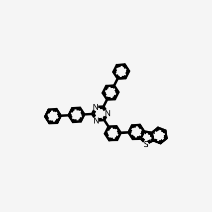 c1ccc(-c2ccc(-c3nc(-c4ccc(-c5ccccc5)cc4)nc(-c4cccc(-c5ccc6c(c5)sc5ccccc56)c4)n3)cc2)cc1